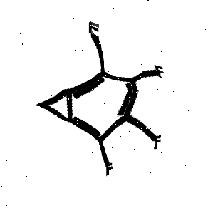 Fc1c(F)c(F)c2c(c1F)C2